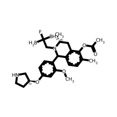 BC(B)(F)CN1C(c2ccc(O[C@H]3CCNC3)cc2OC)c2ccc(C)c(OC(C)=O)c2C[C@H]1C